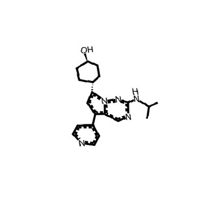 CC(C)Nc1ncc2c(-c3ccncc3)cc([C@H]3CC[C@H](O)CC3)n2n1